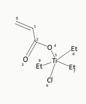 C=CC(=O)[O][Ti]([Cl])([CH2]C)([CH2]C)[CH2]C